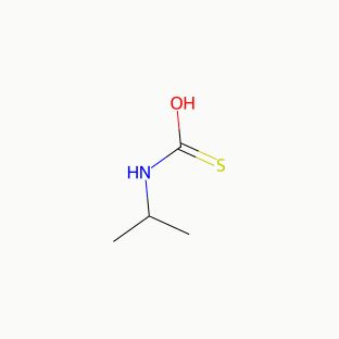 CC(C)NC(O)=S